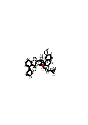 COc1ccc2c(c1)C13CCN(CC4CC4)C(C2)C12CCC1C3[C@H](C2)C(=O)N1C(=O)c1ccccc1-c1ccccc1